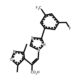 Cc1noc(C)c1/C(=C\n1cnc(-c2cc(CF)cc(C(F)(F)F)c2)n1)C(=O)O